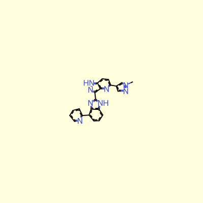 Cn1cc(-c2ccc3[nH]nc(-c4nc5c(-c6ccccn6)cccc5[nH]4)c3n2)cn1